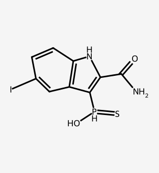 NC(=O)c1[nH]c2ccc(I)cc2c1[PH](O)=S